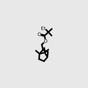 CCC(C)(C)C(=O)OCC1CC2CCC1(C)C2(C)C